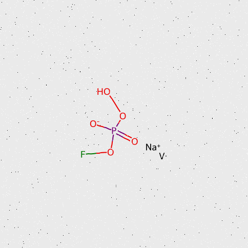 O=P([O-])(OO)OF.[Na+].[V]